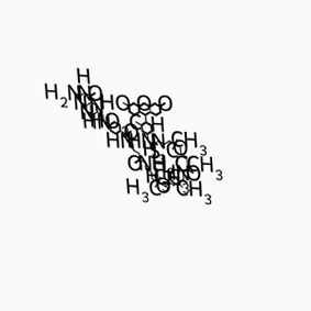 CC(C)(CCOC(C)(C)CCCNC(=O)CCCNC(=O)c1ccc(NCC2=NC3C(=O)NC(N)=NC3N=C2)cc1)CNC(=O)C(C)(C)CCOC(C)(C)CCNC(=S)Nc1ccc(-c2c3ccc(=O)cc-3oc3cc(O)ccc23)c(C(=O)O)c1